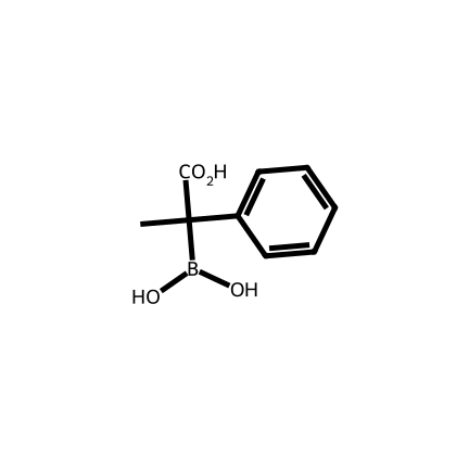 CC(B(O)O)(C(=O)O)c1ccccc1